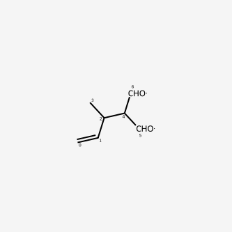 C=CC(C)C([C]=O)[C]=O